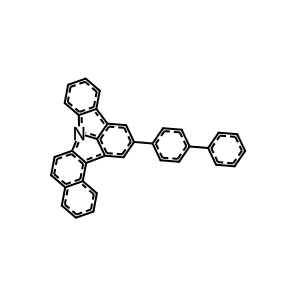 c1ccc(-c2ccc(-c3cc4c5ccccc5n5c6ccc7ccccc7c6c(c3)c45)cc2)cc1